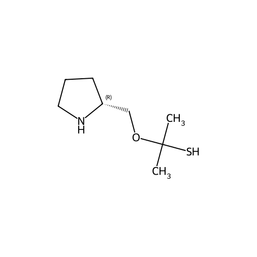 CC(C)(S)OC[C@H]1CCCN1